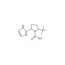 CC(C)(C)C1CCC(c2ncc[nH]2)N1C(=O)O